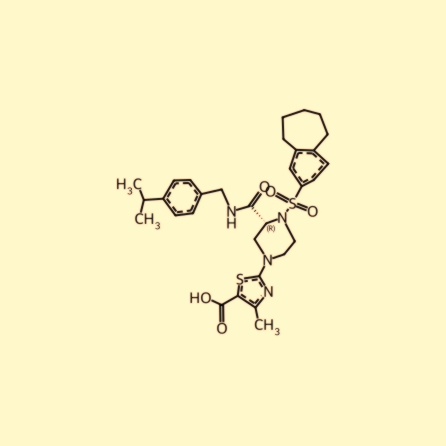 Cc1nc(N2CCN(S(=O)(=O)c3ccc4c(c3)CCCCC4)[C@@H](C(=O)NCc3ccc(C(C)C)cc3)C2)sc1C(=O)O